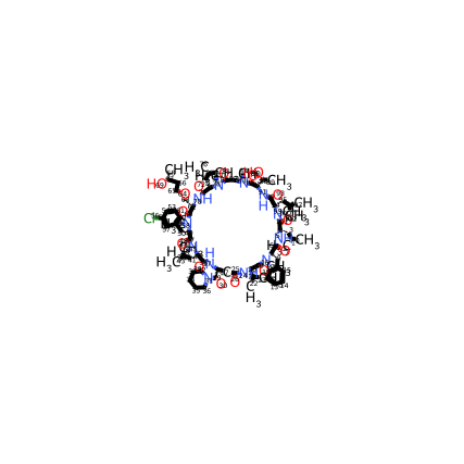 CC(C)C[C@@H]1NC(=O)[C@H](Cc2ccccc2)N(C)C(=O)[C@@H](C(C)C)NC(=O)C[C@@H](C(=O)N2CCCCC2)NC(=O)[C@H](CC(C)C)N(C)C(=O)[C@H](Cc2cccc(Cl)c2)N(C)C(=O)[C@H](COCC[C@@H](C)O)NC(=O)[C@H](CC(C)C)N(C)C(=O)CN(C)C(=O)[C@H](C(C)O)NC(=O)[C@H](CC(C)C)N(C)C1=O